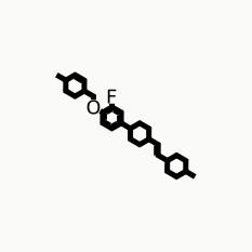 CC1C=CC(COc2ccc(C3CCC(/C=C/C4CCC(C)CC4)CC3)cc2F)CC1